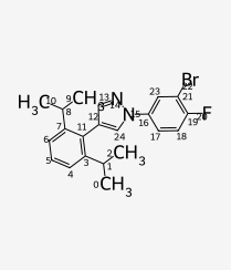 CC(C)c1cccc(C(C)C)c1-c1cnn(-c2ccc(F)c(Br)c2)c1